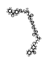 CN(CCCOc1ccc(C(=O)c2ccccc2)cc1)CCC(=O)OCCOCCOCCOC(=O)CCN(C)CCCOc1ccc(C(=O)c2ccccc2)cc1